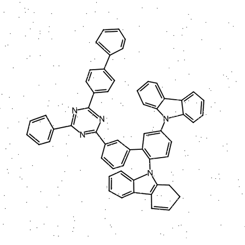 C1=Cc2c(n(-c3ccc(-n4c5ccccc5c5ccccc54)cc3-c3cccc(-c4nc(-c5ccccc5)nc(-c5ccc(-c6ccccc6)cc5)n4)c3)c3ccccc23)CC1